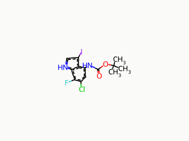 CC(C)(C)OC(=O)Nc1cc(Cl)c(F)c2[nH]cc(I)c12